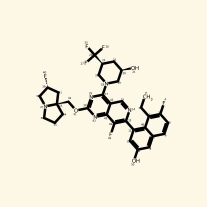 CCc1c(F)ccc2cc(O)cc(-c3ncc4c(N5C[C@H](O)C[C@H](C(F)(F)F)C5)nc(OC[C@@]56CCCN5C[C@H](F)C6)nc4c3F)c12